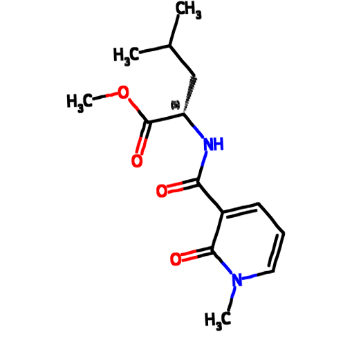 COC(=O)[C@H](CC(C)C)NC(=O)c1cccn(C)c1=O